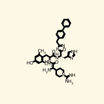 Cc1cc(O)cc(C)c1CC(NC(=O)C(N)C1CCN(C(=N)N)CC1)C(=O)N[C@@H](Cc1c[nH]cn1)c1nc(Cc2ccc(-c3ccccc3)cc2)no1